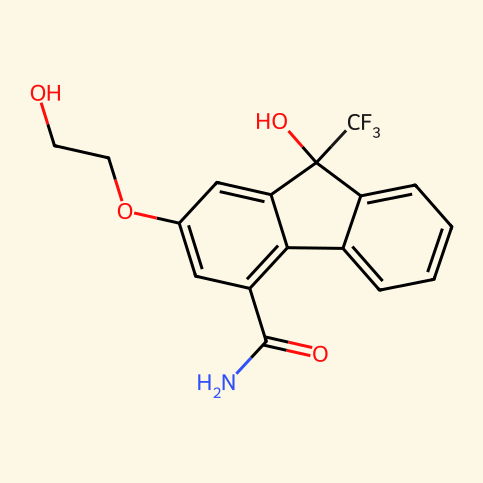 NC(=O)c1cc(OCCO)cc2c1-c1ccccc1C2(O)C(F)(F)F